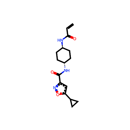 C=CC(=O)N[C@H]1CC[C@H](NC(=O)c2cc(C3CC3)on2)CC1